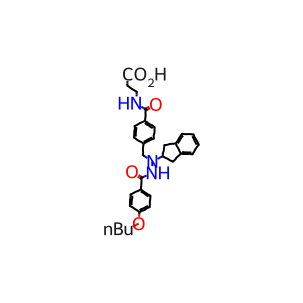 CCCCOc1ccc(C(=O)NN(Cc2ccc(C(=O)NCCC(=O)O)cc2)C2Cc3ccccc3C2)cc1